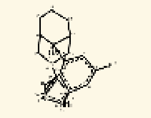 COC1(c2cc(F)cc3[nH]ncc23)C2CCCC1CN(C(=O)OC(C)(C)C)C2